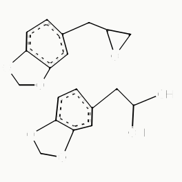 CC(O)Cc1ccc2c(c1)OCO2.c1cc2c(cc1CC1CO1)OCO2